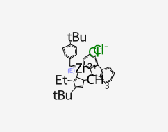 CCC1=[C](/[Zr+2](=[CH]/c2ccc(C(C)(C)C)cc2)[c]2cccc3c2Cc2ccccc2-3)C(C)C=C1C(C)(C)C.[Cl-].[Cl-]